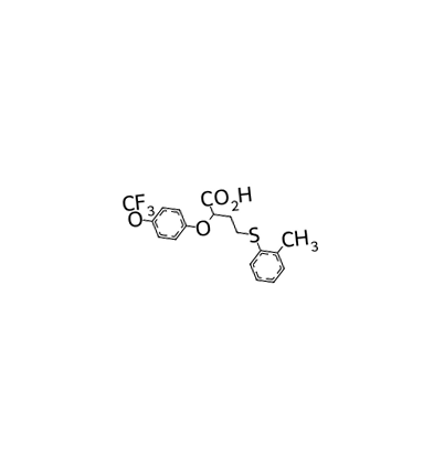 Cc1ccccc1SCCC(Oc1ccc(OC(F)(F)F)cc1)C(=O)O